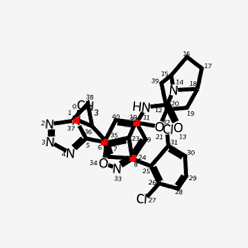 Cn1nnnc1-c1cccc(NC(=O)N2C3CCC2CC(OCc2c(-c4c(Cl)cccc4Cl)noc2C2CC2)C3)c1